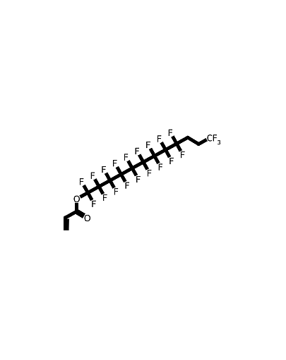 C=CC(=O)OC(F)(F)C(F)(F)C(F)(F)C(F)(F)C(F)(F)C(F)(F)C(F)(F)C(F)(F)C(F)(F)CCC(F)(F)F